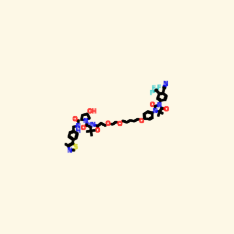 Cc1ncsc1-c1ccc(CNC(=O)[C@@H]2C[C@@H](O)CN2C(=O)C(NC(=O)CCOCCOCCCCCOc2ccc(N3C(=O)N(c4ccc(C#N)c(C(F)(F)F)c4)C(=O)C3(C)C)cc2)C(C)(C)C)cc1